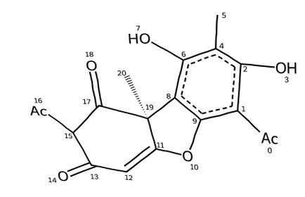 CC(=O)c1c(O)c(C)c(O)c2c1OC1=CC(=O)C(C(C)=O)C(=O)[C@]12C